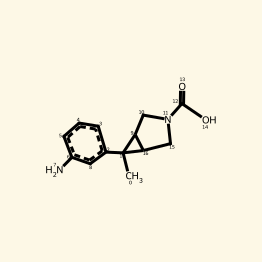 CC1(c2cccc(N)c2)C2CN(C(=O)O)CC21